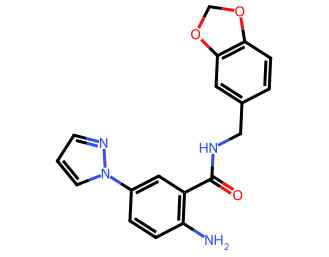 Nc1ccc(-n2cccn2)cc1C(=O)NCc1ccc2c(c1)OCO2